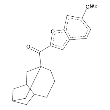 COc1ccc2cc(C(=O)C34CCCC5CC(CC5C3)C4)oc2c1